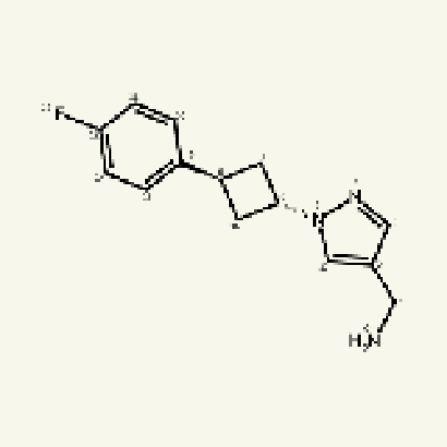 NCc1cnn([C@H]2C[C@H](c3ccc(F)cc3)C2)c1